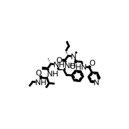 C=C(N[C@H](C(=O)NCC)C(C)C)[C@H](C)NC[C@H](Cc1ccccc1)NC(=O)[C@H](CCC)N(C)C(=O)CNC(=O)c1ccncc1